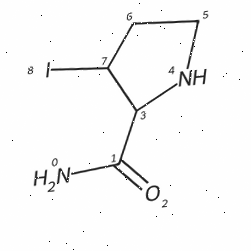 NC(=O)C1NCCC1I